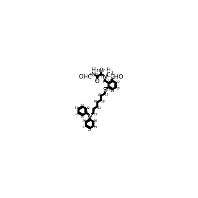 CCCC(C(=O)NC=O)N(C)Cc1c(C=O)cccc1SCCCCCCCN(c1ccccc1)c1ccccc1